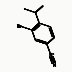 CC(C)c1ccc([N+]#N)cc1Br